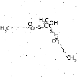 CCCCCCCCCC(=O)OCCSCc1cc(C)c(O)c(CSCCOC(=O)CCCCCCCCC)c1